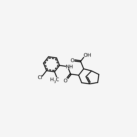 Cc1c(Cl)cccc1NC(=O)C1CC2=CC(CC2)C1C(=O)O